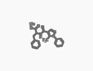 CC(C)(C)OC(=O)C(Cc1ccccc1)NC(=O)c1cnn(-c2ccccc2)c1C(F)(F)F